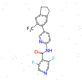 O=C(Nc1ccc(-c2cc3c(cc2C(F)(F)F)CCC3)cn1)c1c(F)cncc1F